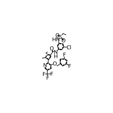 CCS(=O)(=O)Nc1cc(Cl)cc(NC(=O)c2cc(-c3ncc(C(F)(F)F)cc3OCc3cc(F)cc(F)c3)c(C)s2)c1